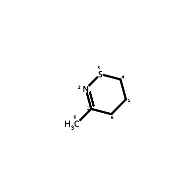 CC1=NSCCC1